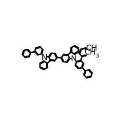 C#C/C=C\C(=C/C)c1cc(-c2ccccc2)ccc1-n1c2ccccc2c2cc(-c3ccc4c(c3)c3ccccc3n4-c3cccc(-c4ccccc4)c3)ccc21